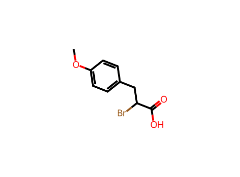 COc1ccc(CC(Br)C(=O)O)cc1